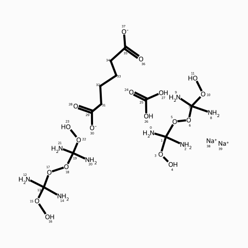 NC(N)(OO)OOC(N)(N)OO.NC(N)(OO)OOC(N)(N)OO.O=C(O)O.O=C([O-])CCCCC(=O)[O-].[Na+].[Na+]